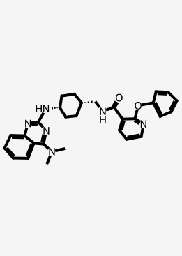 CN(C)c1nc(N[C@H]2CC[C@@H](CNC(=O)c3cccnc3Oc3ccccc3)CC2)nc2ccccc12